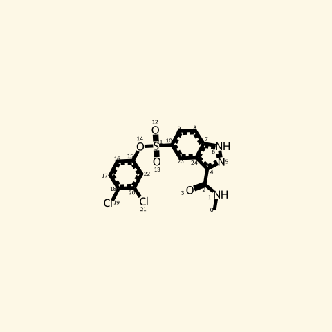 CNC(=O)c1n[nH]c2ccc(S(=O)(=O)Oc3ccc(Cl)c(Cl)c3)cc12